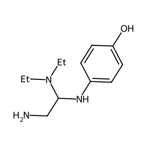 CCN(CC)C(CN)Nc1ccc(O)cc1